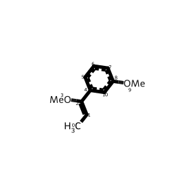 CC=C(OC)c1cccc(OC)c1